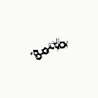 O=C(CN1C(=O)NC2(CCC(F)(F)CC2)C1=O)c1ccc(-c2ccnc3[nH]ccc23)cc1